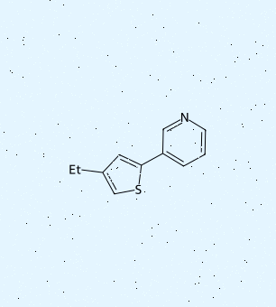 CCc1csc(-c2cccnc2)c1